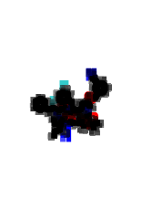 CC[C@@H](C)[C@@]1(NC(C)=O)CCN([C@@H](CCc2ccccc2)C(=O)N[C@@H](Cc2cc(F)cc(F)c2)[C@H](O[Si](C)(C)C(C)(C)C)C2CC(OCc3cccc(C#N)c3)CN2C(=O)OC(C)(C)C)C1=O